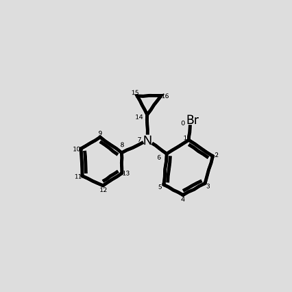 Brc1ccccc1N(c1ccccc1)C1CC1